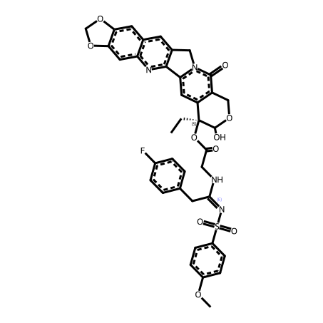 CC[C@]1(OC(=O)CN/C(Cc2ccc(F)cc2)=N/S(=O)(=O)c2ccc(OC)cc2)c2cc3n(c(=O)c2COC1O)Cc1cc2cc4c(cc2nc1-3)OCO4